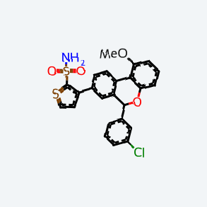 COc1cccc2c1-c1ccc(-c3ccsc3S(N)(=O)=O)cc1C(c1cccc(Cl)c1)O2